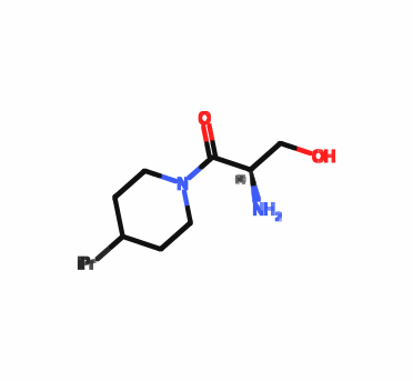 CC(C)C1CCN(C(=O)[C@H](N)CO)CC1